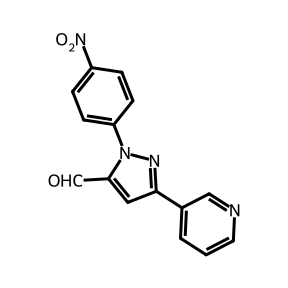 O=Cc1cc(-c2cccnc2)nn1-c1ccc([N+](=O)[O-])cc1